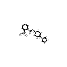 O=[N+]([O-])c1ccccc1NSc1ccc(-n2ccnc2)cc1